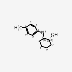 Cc1ccc([N][C@@H]2CCCC[C@H]2O)cc1